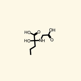 CCCC(O)(NCC(=O)O)C(=O)O